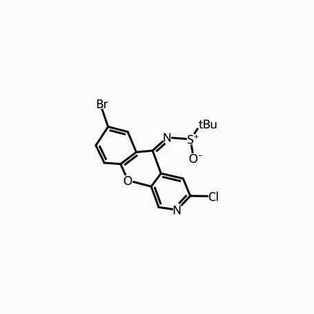 CC(C)(C)[S+]([O-])N=c1c2cc(Br)ccc2oc2cnc(Cl)cc12